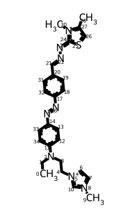 CCN(CC[n+]1ccn(C)c1)c1ccc(/N=N/c2ccc(/C=N/N=c3\scc(C)n3C)cc2)cc1